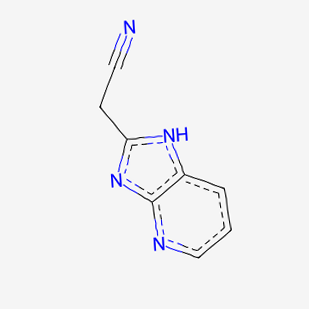 N#CCc1nc2ncccc2[nH]1